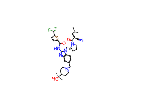 CC(C)C=C(C#N)C(=O)N1CCC[C@@H]1Cn1c(NC(=O)c2ccc(C(F)F)s2)nc2cc(CN3CCC(C(C)(C)O)CC3)ccc21